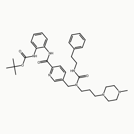 CN1CCN(CCCN(Cc2ccc(C(=O)Nc3ccccc3NC(=O)OC(C)(C)C)nc2)C(=O)NCCc2ccccc2)CC1